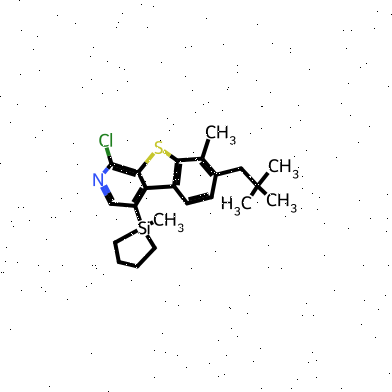 Cc1c(CC(C)(C)C)ccc2c1sc1c(Cl)ncc([Si]3(C)CCCC3)c12